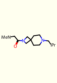 CNCC(=O)N1CC2(CCN(CC(C)C)CC2)C1